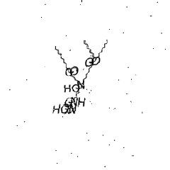 CCCCCCCCCCCOC(=O)CCCCCN(CCCCCCCC(=O)OC(CCCCCCCC)CCCCCCCC)CC(O)CCCCNC(=O)c1c(O)ccn1C